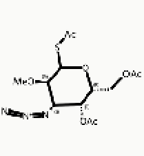 CO[C@H]1C(SC(C)=O)O[C@H](COC(C)=O)[C@H](OC(C)=O)[C@@H]1N=[N+]=[N-]